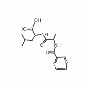 CC(C)C[C@H](NC(=O)C(C)NC(=O)c1cnccn1)B(O)O